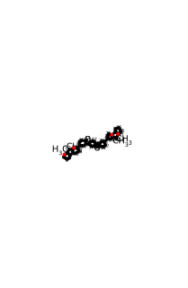 CC1(C)c2ccccc2-c2ccc(C3=CC4c5cc6oc7ccc(-c8ccc9c(c8)C(C)(C)c8ccccc8-9)cc7c6cc5OC4C=C3)cc21